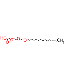 CCCCCCCCCCCCCCCOCCOCCOCC(=O)O